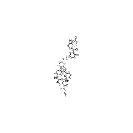 C=CCNC(=O)c1cnc(Nc2ccc(N3CCN(CCCc4ccc(C)c(C(=O)N(C=O)C5CCC(=O)NC5=O)c4)CC3)cc2)nc1Nc1cccc(C(C)(C)O)n1